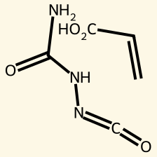 C=CC(=O)O.NC(=O)NN=C=O